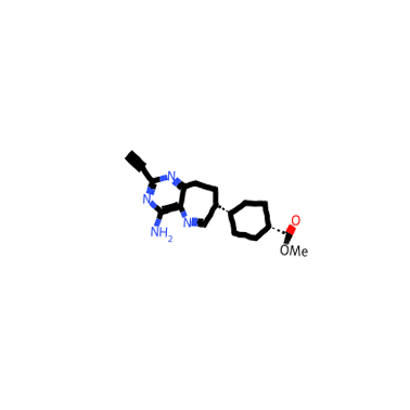 C#Cc1nc(N)c2c(n1)CCC([C@H]1CC[C@@H](C(=O)OC)CC1)C=N2